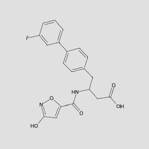 O=C(O)CC(Cc1ccc(-c2cccc(F)c2)cc1)NC(=O)c1cc(O)no1